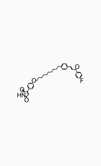 O=C1C=C(c2ccc(OCCCCCCCCCCc3ccc(C=CC(=O)c4ccc(F)cc4)cc3)cc2)C(=O)N1